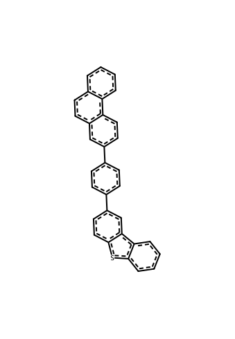 c1ccc2c(c1)ccc1cc(-c3ccc(-c4ccc5sc6ccccc6c5c4)cc3)ccc12